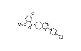 COc1ccc(Cl)cc1C(=O)N1CCc2cnc(N3CCN(C4CCC4)CC3)nc2CC1